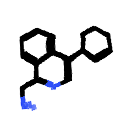 NCc1ncc(C2C=CCCC2)c2ccccc12